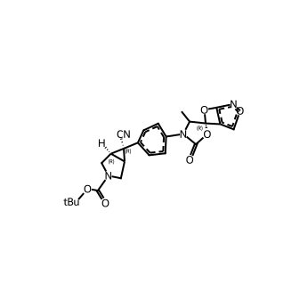 CC1N(c2ccc([C@@]3(C#N)C4CN(C(=O)OC(C)(C)C)C[C@H]43)cc2)C(=O)O[C@@]12Oc1nocc12